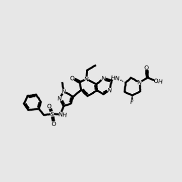 CCn1c(=O)c(-c2cc(NS(=O)(=O)Cc3ccccc3)nn2C)cc2cnc(N[C@H]3C[C@H](F)CN(C(=O)O)C3)nc21